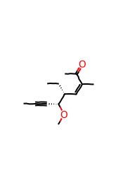 CC#C[C@@H](OC)[C@@H](/C=C(/C)C(C)=O)CC